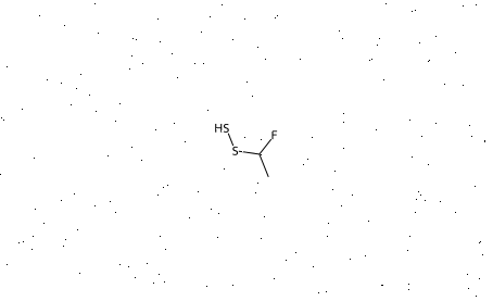 CC(F)SS